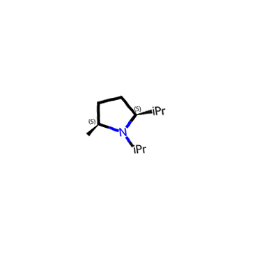 CC(C)[C@@H]1CC[C@H](C)N1C(C)C